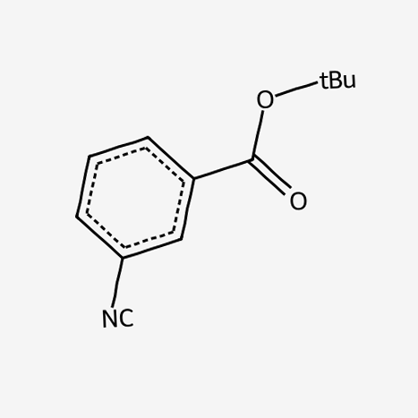 [C-]#[N+]c1cccc(C(=O)OC(C)(C)C)c1